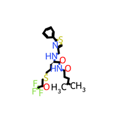 CC(C)CCC(=O)NC(=O)[C@H](CCCSCC(=O)C(F)(F)F)NCc1csc(-c2ccccc2)n1